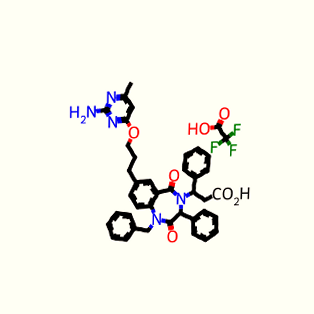 Cc1cc(OCCCc2ccc3c(c2)C(=O)N(C(CC(=O)O)c2ccccc2)C(c2ccccc2)C(=O)N3Cc2ccccc2)nc(N)n1.O=C(O)C(F)(F)F